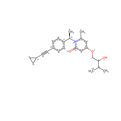 Cc1cc(OCC(O)C(C)C)cc(=O)n1[C@H](C)c1ccc(C#CC2CC2)cc1